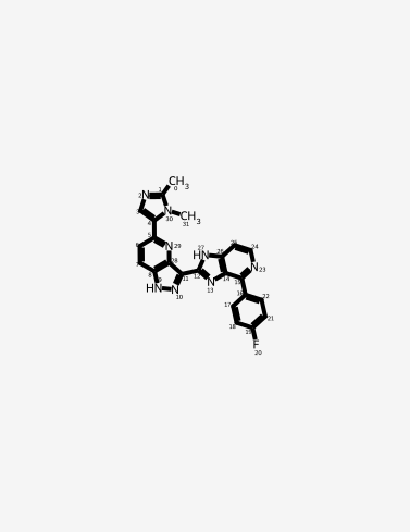 Cc1ncc(-c2ccc3[nH]nc(-c4nc5c(-c6ccc(F)cc6)nccc5[nH]4)c3n2)n1C